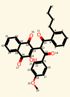 CCCCc1ccccc1C(=O)C(C(=O)c1ccc(OC)cc1)C1=C(O)C(=O)c2ccccc2C1=O